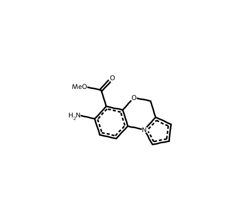 COC(=O)c1c(N)ccc2c1OCc1cccn1-2